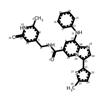 Cc1cc(CNC(=O)c2cc(Nc3ccccc3)c3ncc(-c4ccc(C)s4)n3c2)cc(=O)[nH]1